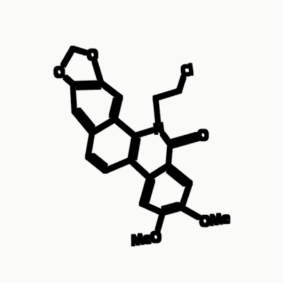 COc1cc2c(=O)n(CCCl)c3c4cc5c(cc4ccc3c2cc1OC)OCO5